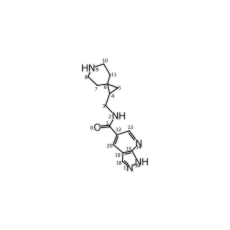 O=C(NCC1CC12CCNCC2)c1cnc2[nH]ncc2c1